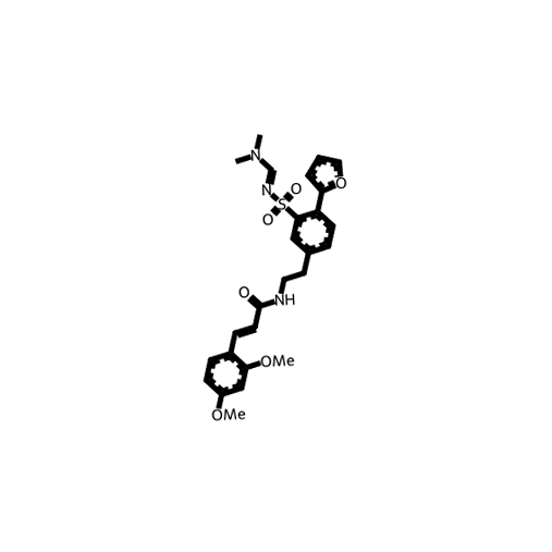 COc1ccc(C=CC(=O)NCCc2ccc(-c3ccco3)c(S(=O)(=O)N=CN(C)C)c2)c(OC)c1